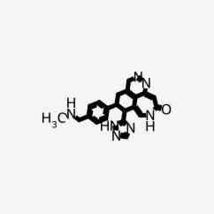 CNCc1ccc(C2CC3=C4C(=CC(=O)NC=C4C2c2ncn[nH]2)N=NC3)cc1